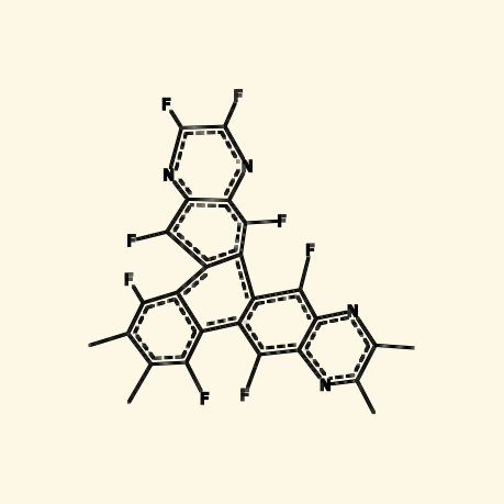 Cc1nc2c(F)c3c4c(F)c(C)c(C)c(F)c4c4c(F)c5nc(F)c(F)nc5c(F)c4c3c(F)c2nc1C